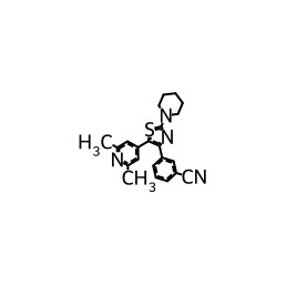 Cc1cc(-c2sc(N3CCCCC3)nc2-c2cccc(C#N)c2)cc(C)n1